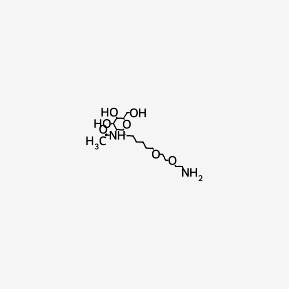 CC(=O)N[C@@H]1[C@@H](O)[C@@H](O)[C@@H](CO)O[C@@H]1CCCCCCOCCOCCN